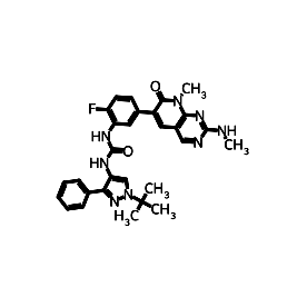 CNc1ncc2cc(-c3ccc(F)c(NC(=O)Nc4cn(C(C)(C)C)nc4-c4ccccc4)c3)c(=O)n(C)c2n1